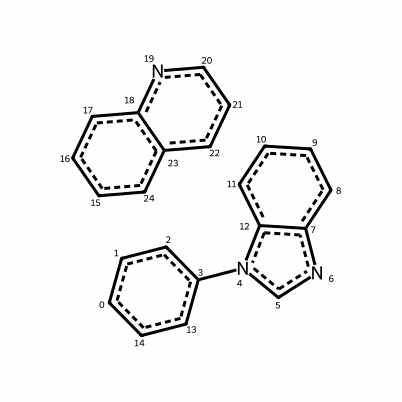 c1ccc(-n2cnc3ccccc32)cc1.c1ccc2ncccc2c1